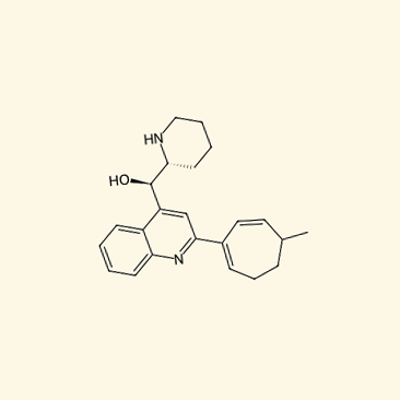 CC1C=CC(c2cc([C@@H](O)[C@H]3CCCCN3)c3ccccc3n2)=CCC1